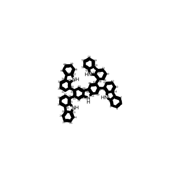 c1ccc2c(c1)[nH]c1c(-c3cc4[nH]c5cc(-c6cccc7c6[nH]c6ccccc67)c(-c6cccc7c6[nH]c6ccccc67)cc5c4cc3-c3cccc4c3[nH]c3ccccc34)cccc12